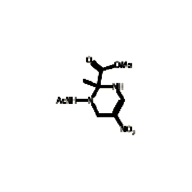 COC(=O)C1(C)NC=C([N+](=O)[O-])CN1NC(C)=O